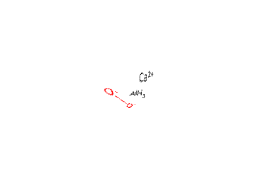 [AlH3].[Ca+2].[O-][O-]